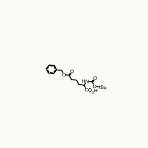 CC(C)(C)OC(=O)NC(CCCC(=O)OCc1ccccc1)C(=O)O